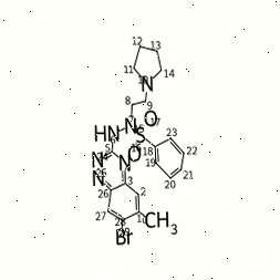 Cc1cc2nc(NN(CCN3CCCC3)S(=O)(=O)c3ccccc3)nnc2cc1Br